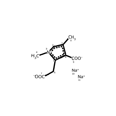 Cc1cn(C)c(CC(=O)[O-])c1C(=O)[O-].[Na+].[Na+]